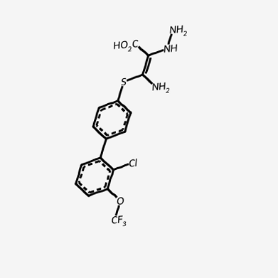 NN/C(C(=O)O)=C(\N)Sc1ccc(-c2cccc(OC(F)(F)F)c2Cl)cc1